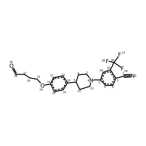 N#Cc1ccc(N2CCC(c3ccc(OCCCC=O)cc3)CC2)cc1C(F)(F)F